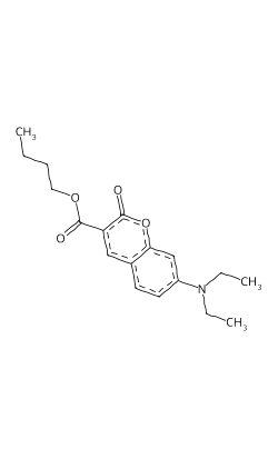 CCCCOC(=O)c1cc2ccc(N(CC)CC)cc2oc1=O